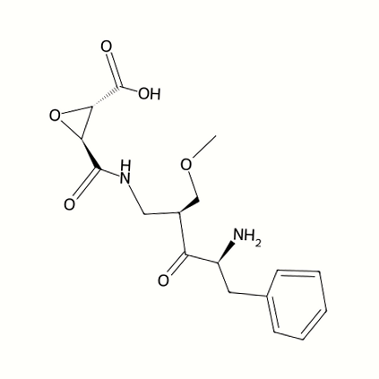 COC[C@H](CNC(=O)[C@H]1O[C@@H]1C(=O)O)C(=O)[C@@H](N)Cc1ccccc1